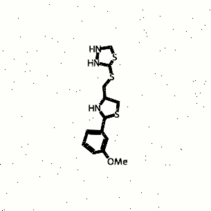 COc1cccc(C2NC(CSC3NNCS3)CS2)c1